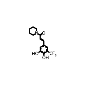 O=C(/C=C/c1cc(O)c(O)c(C(F)(F)F)c1)N1CCCCC1